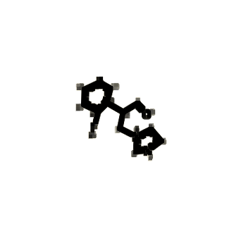 O=CC(Cn1ccnc1)c1ccccc1F